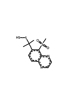 CC(C)(SS)c1ccc2nccnc2c1S(C)(=O)=O